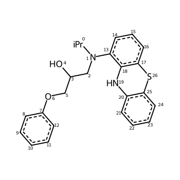 CC(C)N(CC(O)COc1ccccc1)c1cccc2c1Nc1ccccc1S2